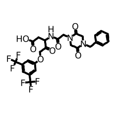 O=C(O)CC(NC(=O)CN1CC(=O)N(Cc2ccccc2)CC1=O)C(=O)COc1cc(C(F)(F)F)cc(C(F)(F)F)c1